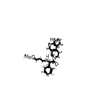 COCCCNC(C(=O)N1CCc2c(cnc3[nH]ncc23)C1)c1ccccc1